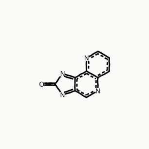 O=C1N=c2cnc3cccnc3c2=N1